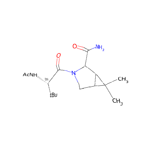 CC(=O)N[C@H](C(=O)N1CC2C(C1C(N)=O)C2(C)C)C(C)(C)C